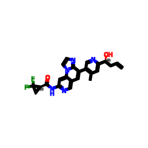 C=CC[C@@H](O)c1cc(C)c(-c2cc3cnc(NC(=O)[C@H]4CC4(F)F)cc3n3ccnc23)cn1